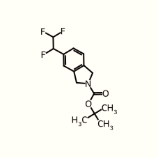 CC(C)(C)OC(=O)N1Cc2ccc(C(F)C(F)F)cc2C1